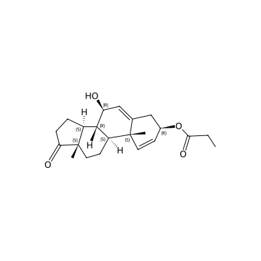 CCC(=O)O[C@H]1C=C[C@@]2(C)C(=C[C@H](O)[C@@H]3[C@@H]2CC[C@]2(C)C(=O)CC[C@@H]32)C1